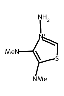 CNc1sc[n+](N)c1NC